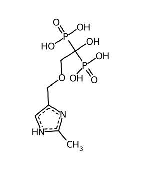 Cc1nc(COCC(O)(P(=O)(O)O)P(=O)(O)O)c[nH]1